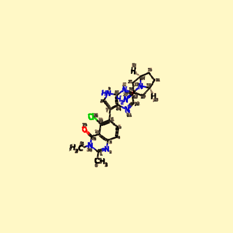 Cc1nc2ccc(-c3c[nH]c4nc(N5[C@@H]6CC[C@H]5C[C@@H](N)C6)cnc34)c(Cl)c2c(=O)n1C